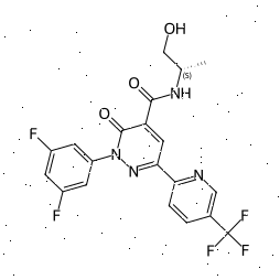 C[C@@H](CO)NC(=O)c1cc(-c2ccc(C(F)(F)F)cn2)nn(-c2cc(F)cc(F)c2)c1=O